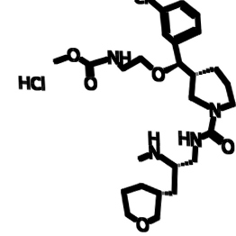 CN[C@H](CNC(=O)N1CCC[C@@H]([C@@H](OCCNC(=O)OC)c2cccc(Cl)c2)C1)C[C@H]1CCCOC1.Cl